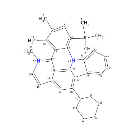 Cc1cc(C(C)(C)C)c2c(c1C)c1c3c(cc[n+]1C)cc(C1CCCCC1)c1c4ccccc4n2c13